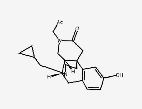 CC(=O)CN1C[C@H]2[C@H]3Cc4ccc(O)cc4[C@@]2(CCN3CC2CC2)CC1=O